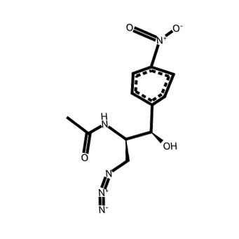 CC(=O)N[C@H](CN=[N+]=[N-])[C@H](O)c1ccc([N+](=O)[O-])cc1